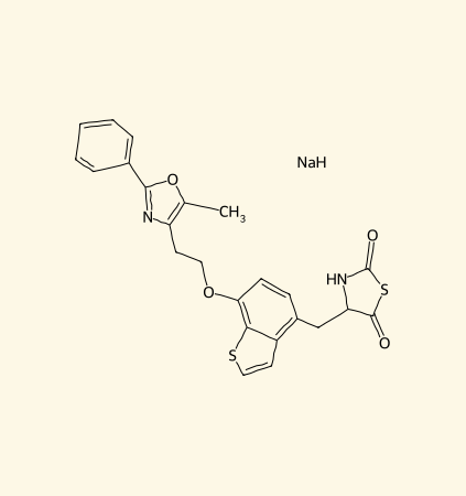 Cc1oc(-c2ccccc2)nc1CCOc1ccc(CC2NC(=O)SC2=O)c2ccsc12.[NaH]